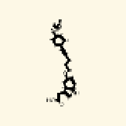 O=C(O)Cc1c[nH]c2ccc(OCCCC#Cc3ccc(OC(F)(F)F)cc3)cc12